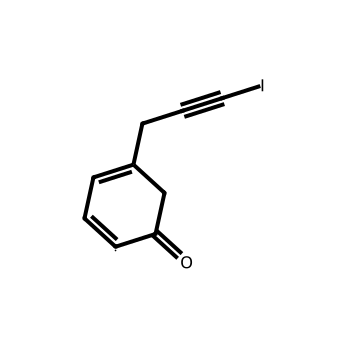 O=C1[C]=CC=C(CC#CI)C1